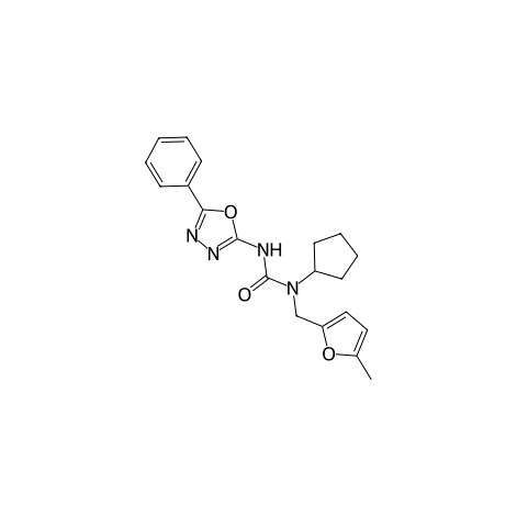 Cc1ccc(CN(C(=O)Nc2nnc(-c3ccccc3)o2)C2CCCC2)o1